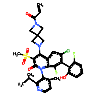 C=CC(=O)N1CC2(C1)CN(c1c(S(C)(=O)=O)c(=O)n(-c3c(C)ccnc3C(C)C)c3c(F)c(-c4c(O)cccc4F)c(Cl)cc13)C2